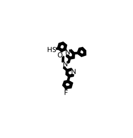 Fc1ccc(-c2cncc(CN(CCOc3ccccc3S)Cc3cncc(-c4ccccc4)c3)c2)cc1